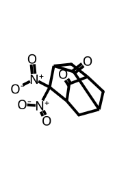 O=C1C2CC3CC1C([N+](=O)[O-])([N+](=O)[O-])C(C2)C3=O